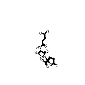 O=C1CCC(C(=O)[O-])(N2OC[C@H](NC(=S)CC=C(Cl)Cl)C2=O)O1.[Na+]